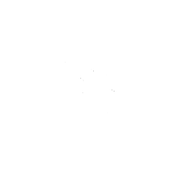 COC(=O)Cn1nc(C(C)C)n2cc(C=O)cc2c1=O